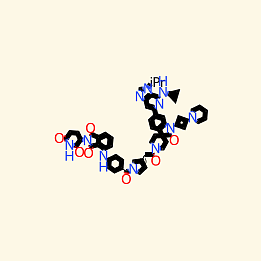 CC(C)n1cnc2cc(-c3ccc4c(c3)N([C@H]3C[C@@H](N5CCCCC5)C3)C(=O)C43CCN(C(=O)C[C@@H]4CCN(C(=O)[C@H]5CC[C@@H](Nc6cccc7c6C(=O)N(C6CCC(=O)NC6=O)C7=O)CC5)C4)CC3)nc(NC3CC3)c21